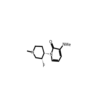 CNc1cccn([C@H]2CCN(C)C[C@H]2F)c1=O